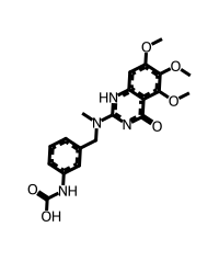 COc1cc2[nH]c(N(C)Cc3cccc(NC(=O)O)c3)nc(=O)c2c(OC)c1OC